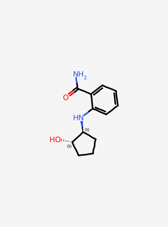 NC(=O)c1ccccc1N[C@H]1CCC[C@@H]1O